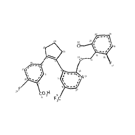 O=C(O)c1cc(C2=C(c3cc(C(F)(F)F)cnc3OCc3c(F)cccc3Cl)CCC2)ccc1F